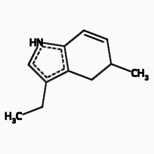 CCc1c[nH]c2c1CC(C)C=C2